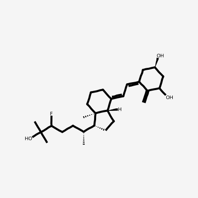 C=C1/C(=C\C=C2/CCC[C@]3(C)[C@@H]([C@H](C)CCC(F)C(C)(C)O)CC[C@@H]23)C[C@@H](O)CC1O